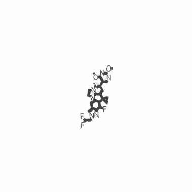 COc1ncc(-c2cc(C3(c4ccc5cn(CC(F)F)nc5c4F)CC3)c3nccn3n2)c(OC)n1